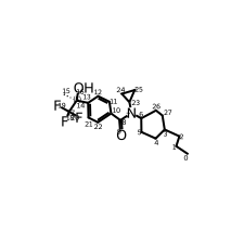 CCCC1CCC(N(C(=O)c2ccc([C@](C)(O)C(F)(F)F)cc2)C2CC2)CC1